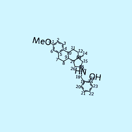 COc1ccc2c(c1)CCC1C2CC[C@]2(C)C[C@H](NCc3ccccc3O)CC12